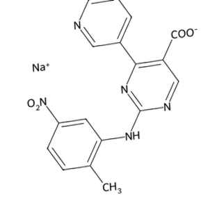 Cc1ccc([N+](=O)[O-])cc1Nc1ncc(C(=O)[O-])c(-c2cccnc2)n1.[Na+]